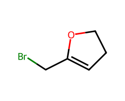 BrCC1=CCCO1